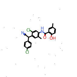 Cc1ccc(O)c(C(=O)Nc2cc(Cl)c(C(C#N)c3ccc(Cl)cc3)cc2C)c1